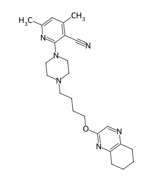 Cc1cc(C)c(C#N)c(N2CCN(CCCCOc3cnc4c(n3)CCCC4)CC2)n1